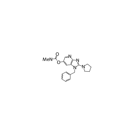 CNC(=O)Oc1cnc2nc(N3CCCC3)n(Cc3ccccc3)c2c1